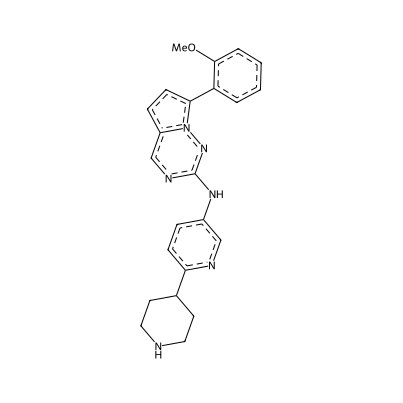 COc1ccccc1-c1ccc2cnc(Nc3ccc(C4CCNCC4)nc3)nn12